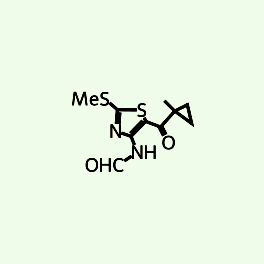 CSc1nc(NC=O)c(C(=O)C2(C)CC2)s1